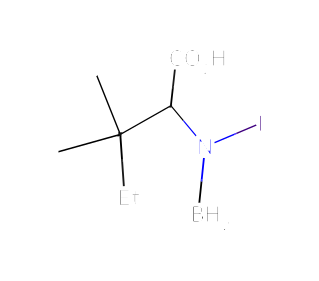 BN(I)C(C(=O)O)C(C)(C)CC